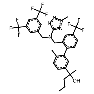 CCCC(C)(O)c1ccc(C)c(-c2ccc(C(F)(F)F)cc2CN(Cc2cc(C(F)(F)F)cc(C(F)(F)F)c2)c2nnn(C)n2)c1